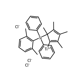 CC1=C(C)C(C)([Si](c2ccccc2)(c2ccccc2)c2c(C)cccc2C)[C]([Ti+3])=C1C.[Cl-].[Cl-].[Cl-]